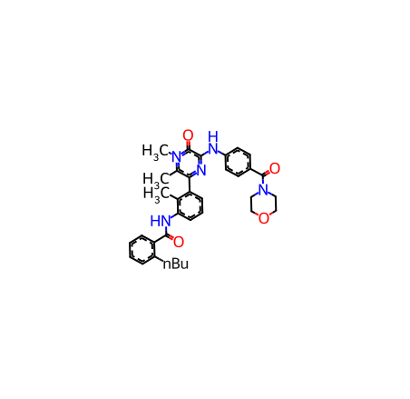 CCCCc1ccccc1C(=O)Nc1cccc(-c2nc(Nc3ccc(C(=O)N4CCOCC4)cc3)c(=O)n(C)c2C)c1C